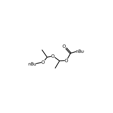 CCC[CH]C(=O)OC(C)OC(C)OCCCC